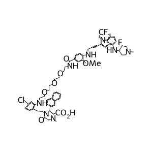 COc1cc(C(=O)NCCOCCOCCOCCNc2cc(Cl)ccc2CCN2C(=O)CN(C)[C@H](C(=O)O)[C@H]2c2ccc3ccccc3c2)ccc1NCC#Cc1cc2c(N[C@@H]3CCN(C)C[C@@H]3F)cccc2n1CC(F)(F)F